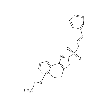 O=C(O)COc1cccc2c1CCc1sc(S(=O)(=O)CC=Cc3ccccc3)nc1-2